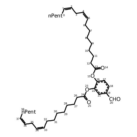 CCCCC/C=C\C/C=C\CCCCCCCC(=O)Oc1ccc(C=O)cc1OC(=O)CCCCCCC/C=C\C/C=C\CCCCC